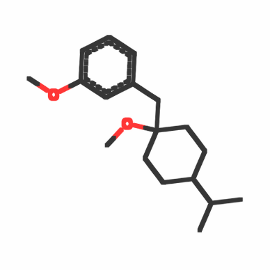 COc1cccc(CC2(OC)CCC(C(C)C)CC2)c1